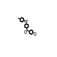 COc1ccc(C(=O)c2ccc(N(C)c3ccc(C)cc3)cc2)cc1